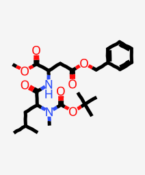 COC(=O)C(CC(=O)OCc1ccccc1)NC(=O)C(CC(C)C)N(C)C(=O)OC(C)(C)C